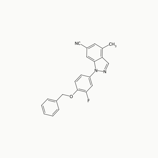 Cc1cc(C#N)cc2c1cnn2-c1ccc(OCc2ccccc2)c(F)c1